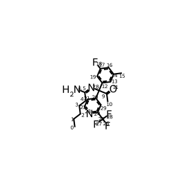 CCCCC/C(N)=N\C(C(C)=O)(c1cc(C)cc(F)c1)c1ccnc(C(F)(F)F)c1